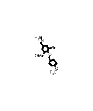 COc1cc(C=NN)cc(Br)c1OCc1ccc(OC(F)(F)F)cc1